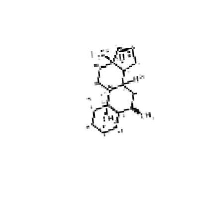 C=C1C[C@H]2[C@@H]3CC=C[C@@]3(C)CC[C@@H]2[C@@]2(C)CCCCC12